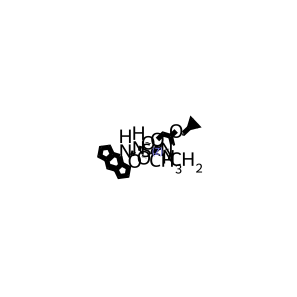 C=NN1CC(OCC2CC2)CO/C1=C(/C)S(=O)(=O)NC(=O)Nc1c2c(cc3c1CCC3)CCC2